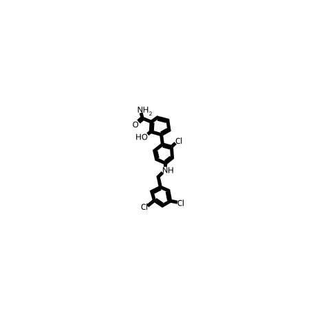 NC(=O)c1cccc(-c2ccc(NCc3cc(Cl)cc(Cl)c3)cc2Cl)c1O